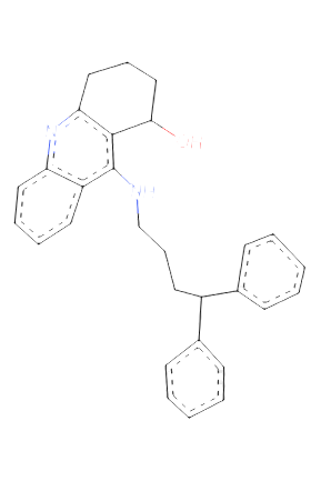 OC1CCCc2nc3ccccc3c(NCCCC(c3ccccc3)c3ccccc3)c21